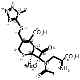 CO[C@@]1(N(C[C@H](N)C(=O)O)C(C)=S)C(=O)N2C(C(=O)O)=C(CSc3nnnn3C)CS[C@@H]21